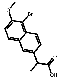 COc1ccc2cc(C(C)C(=O)O)ccc2c1Br